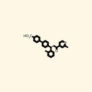 Cc1cc(C(=O)C[C@H](c2ccc(-c3ccc(C(=O)O)cc3)cc2)c2ccccc2C)ccn1